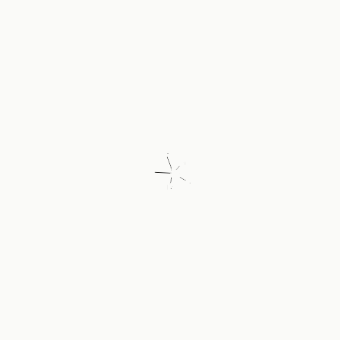 [Br][Po]([Br])([Br])([Br])[Br]